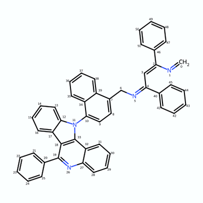 C=N/C(=C\C(=N/Cc1ccc(-n2c3ccccc3c3c(-c4ccccc4)nc4ccccc4c32)c2ccccc12)c1ccccc1)c1ccccc1